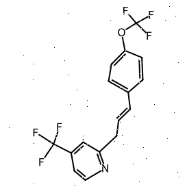 FC(F)(F)Oc1ccc(C=CCc2[c]c(C(F)(F)F)ccn2)cc1